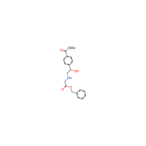 COC(=O)c1ccc(C(O)CNCC(=O)OCc2ccccc2)cc1